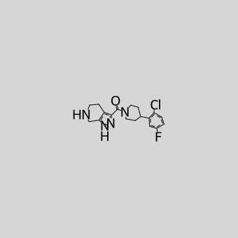 O=C(c1n[nH]c2c1CCNC2)N1CCC(c2cc(F)ccc2Cl)CC1